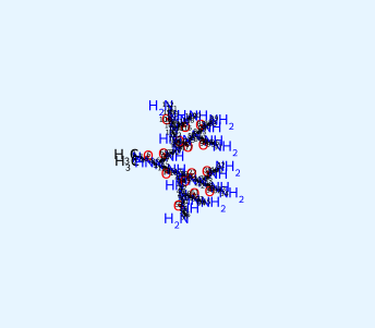 CN(C)CCC(=O)NCCN(CCC(=O)NCCN(CCC(=O)NCCN(CCC(=O)NCCN)CCC(=O)NCCN)CC(=O)NCCN(CCC(=O)NCCN)CCC(=O)NCCN)CCC(=O)NCCN(CCC(=O)NCCN(CCC(=O)NCCN)CCC(=O)NCCN)CC(=O)NCCN(CCC(=O)NCCN)CCC(=O)NCCN